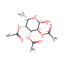 CCCC(=O)O[C@@H]1[C@H](OC(=O)CCC)[C@H](C)O[C@@H](O)[C@H]1OC(=O)CCC